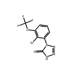 [3H]c1c(OC(F)(F)F)cccc1-n1nn[nH]c1=O